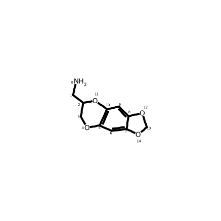 NCC1COc2cc3c(cc2O1)OCO3